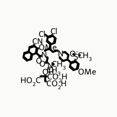 COc1ccc(C2CCN(CCC(CN(CC(=O)N(C)C)C(=O)c3c(OC)c(C#N)cc4ccccc34)c3ccc(Cl)c(Cl)c3)CC2)c([S+](C)[O-])c1.O=C(O)CC(O)(CC(=O)O)C(=O)O